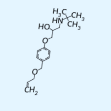 C=CCOCc1ccc(OCC(O)CNC(C)(C)C)cc1